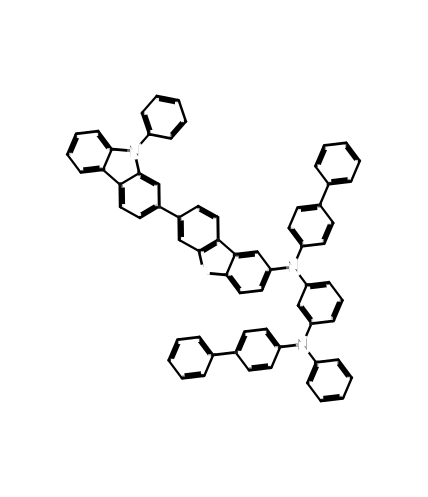 c1ccc(-c2ccc(N(c3ccccc3)c3cccc(N(c4ccc(-c5ccccc5)cc4)c4ccc5sc6cc(-c7ccc8c9ccccc9n(-c9ccccc9)c8c7)ccc6c5c4)c3)cc2)cc1